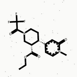 CCOC(=O)[C@@H]1CN(C(=O)C(F)(F)F)CC[C@@H]1c1ccn(C)c(=O)c1